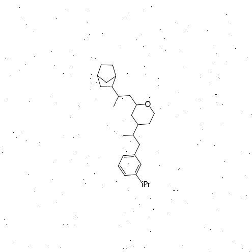 CC(C)c1cccc(CC(C)C2CCOC(CC(C)C3CC4CCC3C4)C2)c1